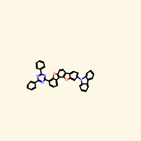 c1ccc(-c2nc(-c3ccccc3)nc(-c3cccc4c3oc3ccc5c6ccc(-n7c8ccccc8c8ccccc87)cc6oc5c34)n2)cc1